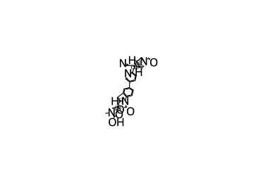 CN(C[C@@H]1OC(=O)N2c3ccc(-c4ccc([C@@]5(C#N)[C@@H]6CN(C=O)C[C@@H]65)nc4)cc3C[C@@H]12)C(=O)O